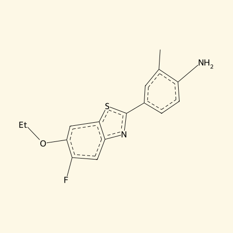 CCOc1cc2sc(-c3ccc(N)c(C)c3)nc2cc1F